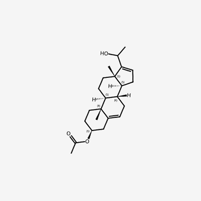 CC(=O)O[C@H]1CC[C@@]2(C)C(=CC[C@@H]3[C@@H]2CC[C@]2(C)C(C(C)O)=CC[C@@H]32)C1